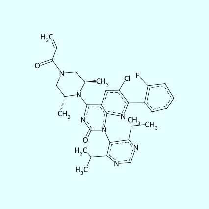 C=CC(=O)N1C[C@@H](C)N(c2nc(=O)n(-c3c(C(C)C)ncnc3C(C)C)c3nc(-c4ccccc4F)c(Cl)cc23)[C@H](C)C1